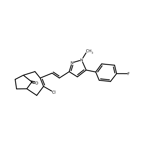 Cn1nc(/C=C/C2=C(Cl)CC3CCC(C2)C3=O)cc1-c1ccc(F)cc1